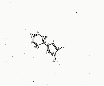 Cc1cc(-c2ncncn2)nn1C